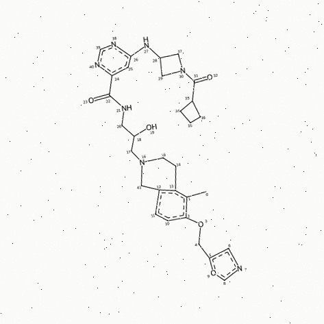 Cc1c(OCc2cnco2)ccc2c1CCN(CC(O)CNC(=O)c1cc(NC3CN(C(=O)C4CCC4)C3)ncn1)C2